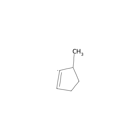 CC1[C]=CCC1